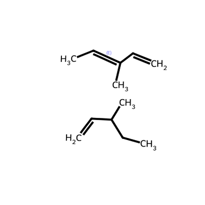 C=C/C(C)=C/C.C=CC(C)CC